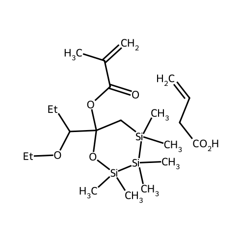 C=C(C)C(=O)OC1(C(CC)OCC)C[Si](C)(C)[Si](C)(C)[Si](C)(C)O1.C=CCC(=O)O